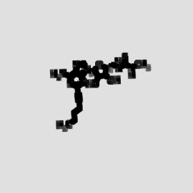 CCCCC#Cc1nc(N)c2ncn([C@@H]3O[C@H](CNC(=S)NC)C(O)C3O)c2n1